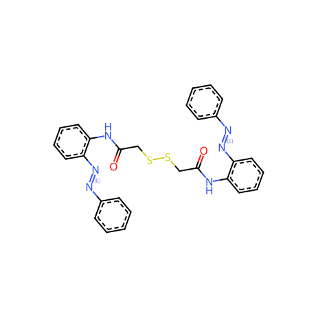 O=C(CSSCC(=O)Nc1ccccc1/N=N/c1ccccc1)Nc1ccccc1/N=N/c1ccccc1